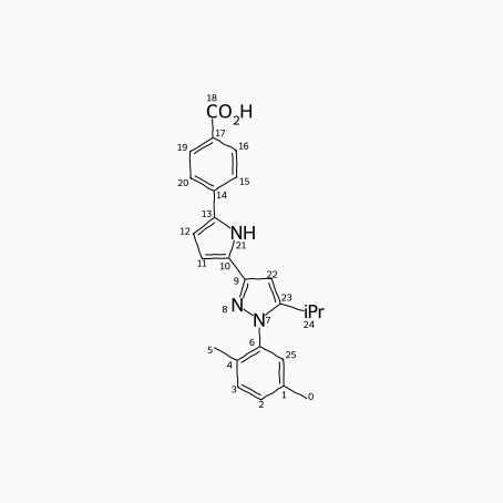 Cc1ccc(C)c(-n2nc(-c3ccc(-c4ccc(C(=O)O)cc4)[nH]3)cc2C(C)C)c1